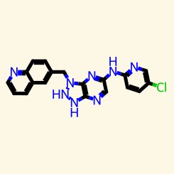 Clc1ccc(Nc2cnc3c(n2)N(Cc2ccc4ncccc4c2)NN3)nc1